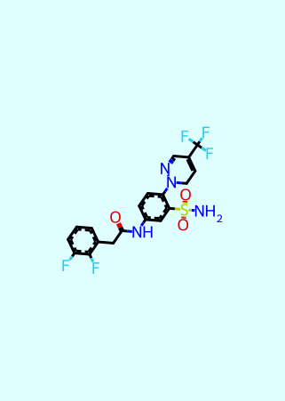 NS(=O)(=O)c1cc(NC(=O)Cc2cccc(F)c2F)ccc1N1CC=C(C(F)(F)F)C=N1